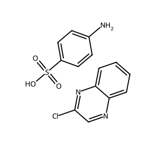 Clc1cnc2ccccc2n1.Nc1ccc(S(=O)(=O)O)cc1